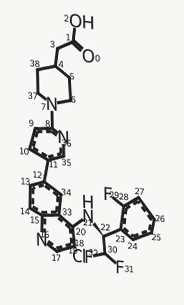 O=C(O)CC1CCN(c2ccc(-c3ccc4ncc(Cl)c(N[C@@H](c5ccccc5F)C(F)F)c4c3)cn2)CC1